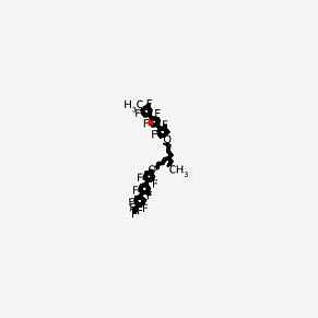 CCCC(CCCCOc1cc(F)c(-c2cc(F)c(-c3cc(F)c(C)c(F)c3)c(F)c2)c(F)c1)CCCCOc1cc(F)c(-c2cc(F)c(-c3cc(F)c(C(F)(F)F)c(F)c3)c(F)c2)c(F)c1